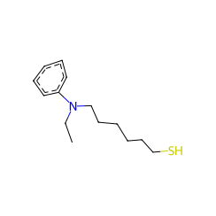 CCN(CCCCCCS)c1ccccc1